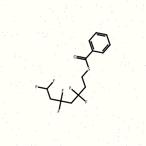 O=C(SCCC(F)(F)CC(F)(F)CC(F)F)c1ccccc1